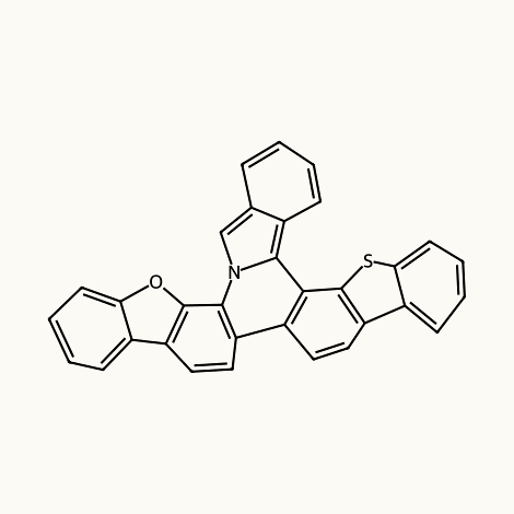 c1ccc2c(c1)cn1c3c(ccc4c5ccccc5oc43)c3ccc4c5ccccc5sc4c3c21